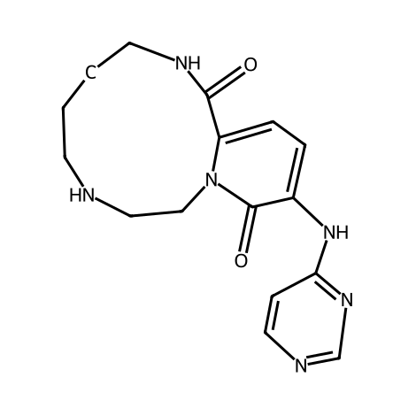 O=C1NCCCCNCCn2c1ccc(Nc1ccncn1)c2=O